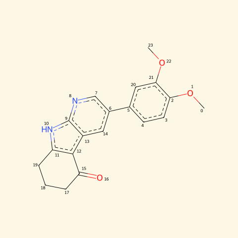 COc1ccc(-c2cnc3[nH]c4c(c3c2)C(=O)CCC4)cc1OC